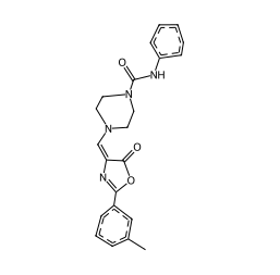 Cc1cccc(C2=N/C(=C/N3CCN(C(=O)Nc4ccccc4)CC3)C(=O)O2)c1